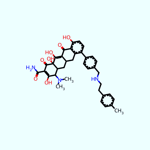 Cc1ccc(CCNCc2ccc(-c3ccc(O)c4c3CC3CC5C(N(C)C)C(O)=C(C(N)=O)C(=O)C5(O)C(O)=C3C4=O)cc2)cc1